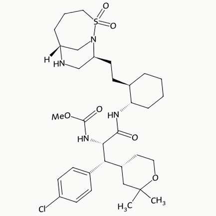 COC(=O)N[C@H](C(=O)N[C@H]1CCCC[C@@H]1CC[C@H]1CN[C@@H]2CCCS(=O)(=O)N1C2)[C@@H](c1ccc(Cl)cc1)[C@@H]1CCOC(C)(C)C1